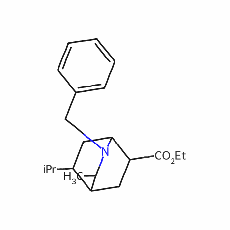 CCOC(=O)C1CC2C(C(C)C)CC1N(Cc1ccccc1)C2C